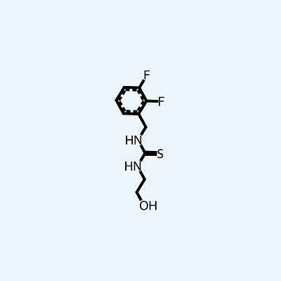 OCCNC(=S)NCc1cccc(F)c1F